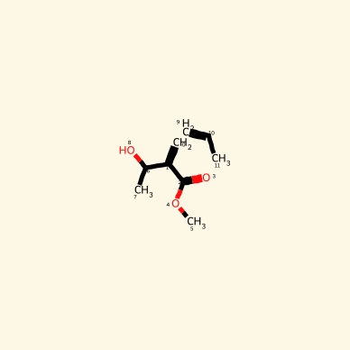 C=C(C(=O)OC)C(C)O.C=CC